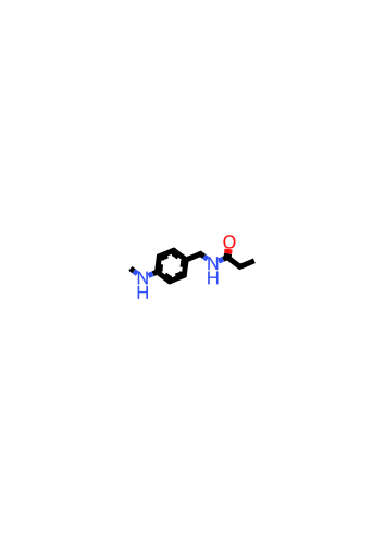 CCC(=O)NCc1ccc(NC)cc1